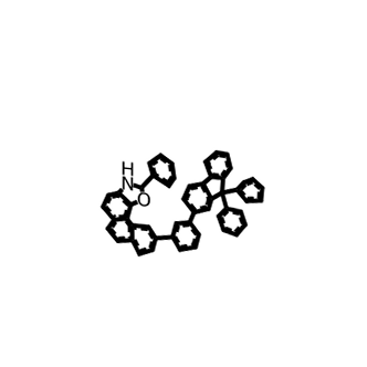 c1ccc(C2Nc3ccc4ccc5ccc(-c6cccc(-c7ccc8c(c7)C(c7ccccc7)(c7ccccc7)c7ccccc7-8)c6)cc5c4c3O2)cc1